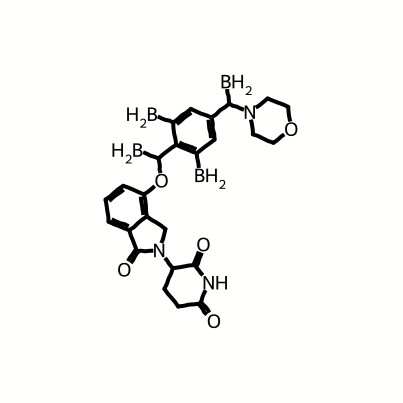 Bc1cc(C(B)N2CCOCC2)cc(B)c1C(B)Oc1cccc2c1CN(C1CCC(=O)NC1=O)C2=O